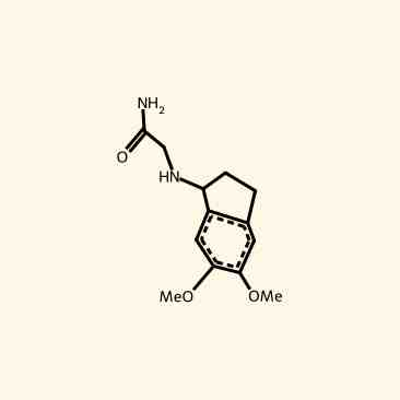 COc1cc2c(cc1OC)C(NCC(N)=O)CC2